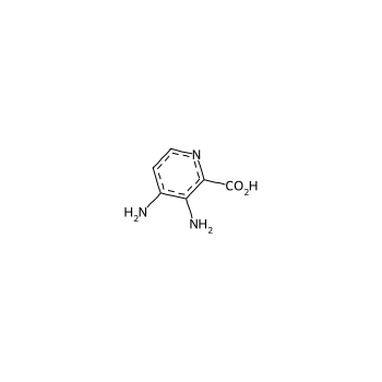 Nc1ccnc(C(=O)O)c1N